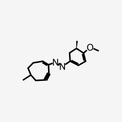 COC1=CC=C(/N=N/C2=C/CCC(C)CC#C2)C[C@H]1C